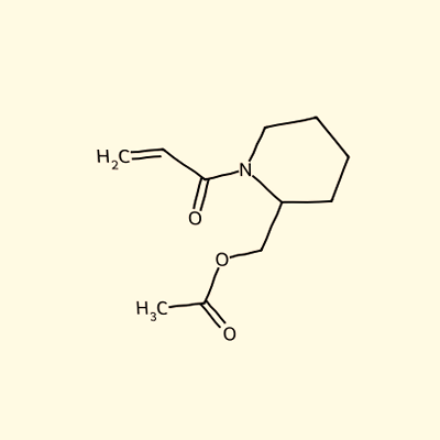 C=CC(=O)N1CCCCC1COC(C)=O